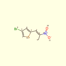 C/C(=C\c1cc(Br)cs1)[N+](=O)[O-]